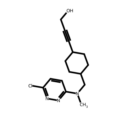 CN(CC1CCC(C#CCO)CC1)c1ccc(Cl)nn1